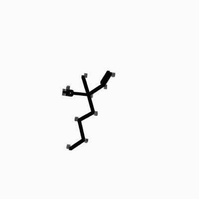 C=CC(C)(O)CCCC